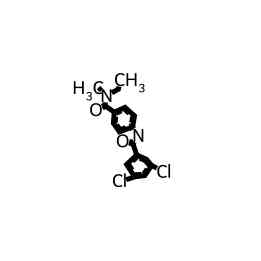 CCN(C)C(=O)c1ccc2nc(-c3cc(Cl)cc(Cl)c3)oc2c1